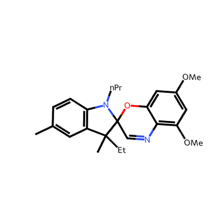 CCCN1c2ccc(C)cc2C(C)(CC)C12C=Nc1c(OC)cc(OC)cc1O2